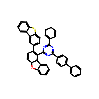 C1=CC(c2nc(C3=C(c4ccc5sc6ccccc6c5c4)C=CC4Oc5ccccc5C34)nc(-c3ccc(-c4ccccc4)cc3)n2)=CCC1